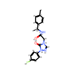 Cc1ccc([C@H](C)NC(=O)Cn2cnn(-c3ccc(F)cc3)c2=O)cc1